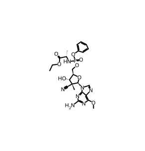 CCOC(=O)[C@H](C)NP(=O)(OC[C@H]1O[C@@H](n2cnc3c(OC)nc(N)nc32)[C@](C)(C#N)[C@@H]1O)Oc1ccccc1